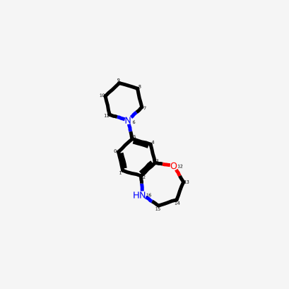 c1cc2c(cc1N1CCCCC1)OCCCN2